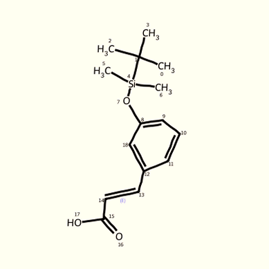 CC(C)(C)[Si](C)(C)Oc1cccc(/C=C/C(=O)O)c1